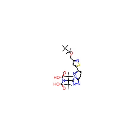 CC(C)(C)C(c1nnc2ccc(-c3cc(CO[Si](C)(C)C(C)(C)C)ns3)nn12)(N(C(=O)O)C(=O)O)C(C)(C)C